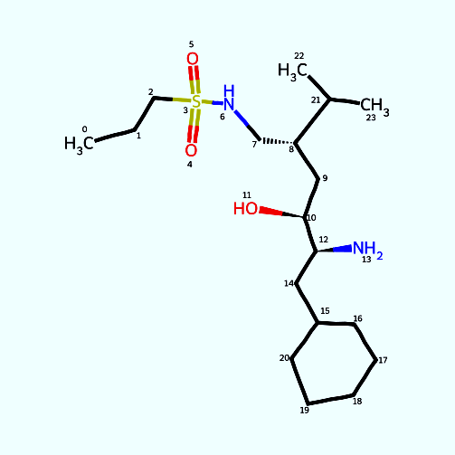 CCCS(=O)(=O)NC[C@@H](C[C@H](O)[C@@H](N)CC1CCCCC1)C(C)C